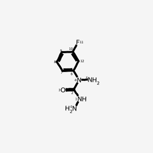 NNC(=O)N(N)c1cc[c]c(F)c1